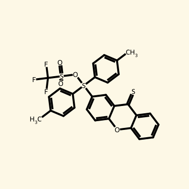 Cc1ccc(S(OS(=O)(=O)C(F)(F)F)(c2ccc(C)cc2)c2ccc3oc4ccccc4c(=S)c3c2)cc1